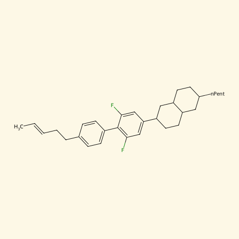 CC=CCCc1ccc(-c2c(F)cc(C3CCC4CC(CCCCC)CCC4C3)cc2F)cc1